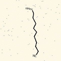 [CH2]CCCCCCCCCCCCCCC#N